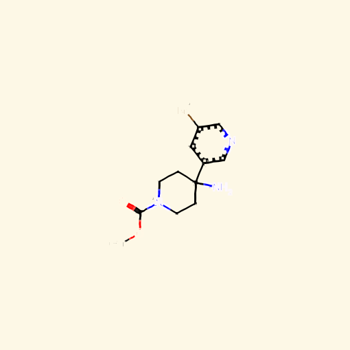 CC(C)(C)OC(=O)N1CCC(N)(c2cncc(Br)c2)CC1